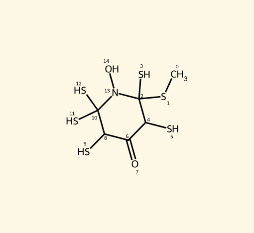 CSC1(S)C(S)C(=O)C(S)C(S)(S)N1O